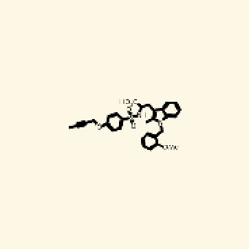 CC#CCOc1ccc(S(=O)(=O)NC(Cc2c(C)n(Cc3ccccc3OC)c3ccccc23)C(=O)O)cc1